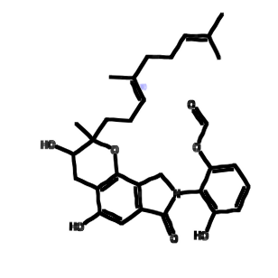 CC(C)=CCC/C(C)=C/CCC1(C)Oc2c(c(O)cc3c2CN(c2c(O)cccc2OC=O)C3=O)CC1O